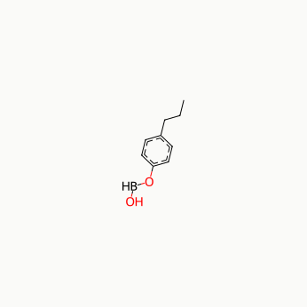 CCCc1ccc(OBO)cc1